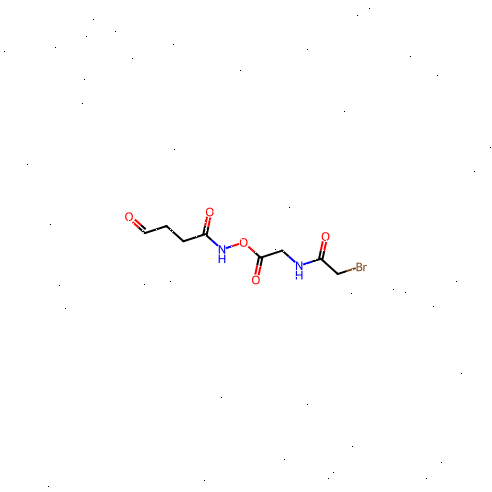 O=CCCC(=O)NOC(=O)CNC(=O)CBr